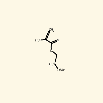 C=C(C)C(=O)OC[SiH2]OC